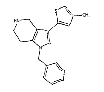 Cc1csc(-c2nn(Cc3ccccc3)c3c2CNCC3)c1